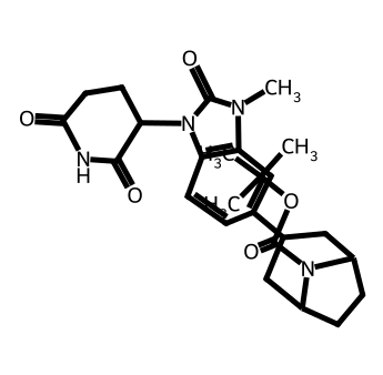 Cn1c(=O)n(C2CCC(=O)NC2=O)c2ccc(C3CC4CCC(C3)N4C(=O)OC(C)(C)C)cc21